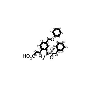 CN(c1cc(COc2ccccc2)ccc1C=CC(=O)O)S(=O)(=O)Cc1ccccc1